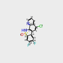 [O-][S+]1Nc2c(cc(Cl)c3cccnc23)-c2cc(F)c(F)cc21